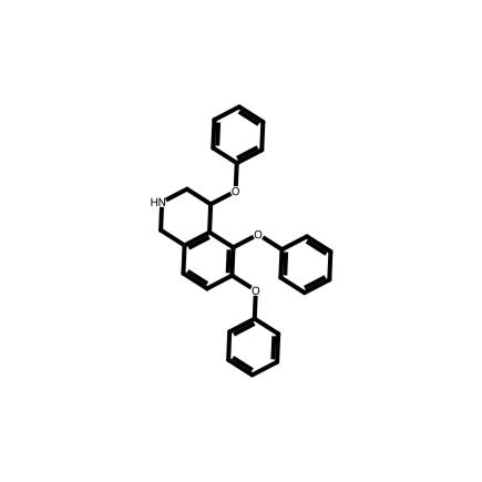 [c]1cc2c(c(Oc3ccccc3)c1Oc1ccccc1)C(Oc1ccccc1)CNC2